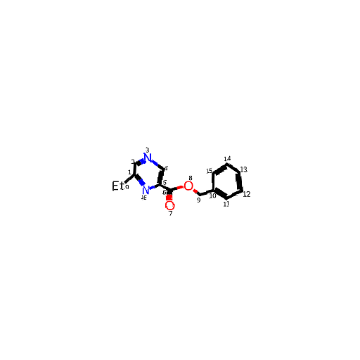 CCc1cncc(C(=O)OCc2ccccc2)n1